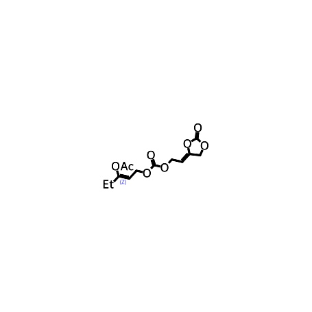 CC/C(=C/COC(=O)OCC=C1COC(=O)O1)OC(C)=O